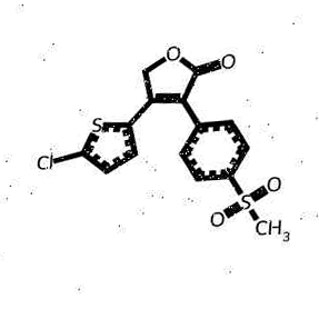 CS(=O)(=O)c1ccc(C2=C(c3ccc(Cl)s3)COC2=O)cc1